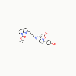 COC(=O)C[C@H](CN(C)CCCCc1ccc2c(n1)N(C(=O)OC(C)(C)C)CCC2)c1cccc(-c2ccc(O)cc2)n1